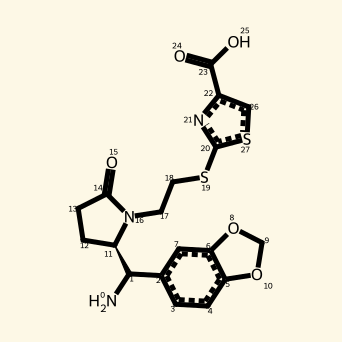 NC(c1ccc2c(c1)OCO2)[C@H]1CCC(=O)N1CCSc1nc(C(=O)O)cs1